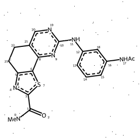 CNC(=O)c1nc2c(s1)-c1nc(Nc3cccc(NC(C)=O)c3)ncc1CC2